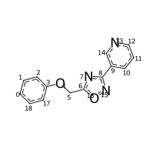 c1ccc(OCc2nc(-c3cccnc3)no2)cc1